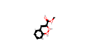 COC(=O)C1=Cc2ccccc2OO1